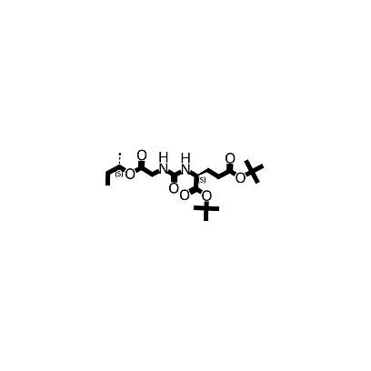 CC[C@H](C)OC(=O)CNC(=O)N[C@@H](CCC(=O)OC(C)(C)C)C(=O)OC(C)(C)C